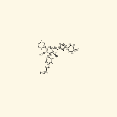 [C-]#[N+]c1c(N2CCCCC2)nc(SCc2csc(-c3ccc(Cl)cc3)n2)c(C#N)c1-c1ccc(OCCO)cc1